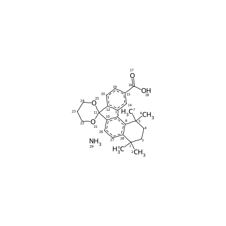 CC1(C)CCC(C)(C)c2cc(C3(c4ccc(C(=O)O)cc4)OCCCO3)ccc21.N